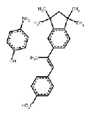 CC(=Cc1ccc(C(=O)O)cc1)c1ccc2c(c1)C(C)(C)CC2(C)C.Nc1ccc(O)cc1